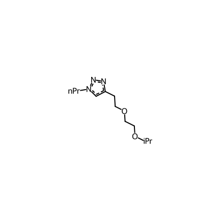 CCCn1cc(CCOCCOC(C)C)nn1